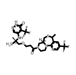 CC1SC[C@H]2CN(C(=O)CCOC[C@](C)([SiH3])Nc3cn[nH]c(=O)c3C(F)(F)F)CCN2c2ncc(C(F)(F)F)cc21